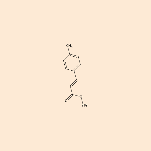 CCCOC(=O)C=Cc1ccc(C)cc1